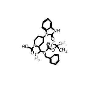 CC(C1CC(n2c(=O)[nH]c3ccccc32)CCN1C(=O)O)N(Cc1ccccc1)C(=O)OC(C)(C)C